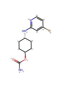 NC(=O)O[C@H]1CC[C@H](Nc2cc(Br)ccn2)CC1